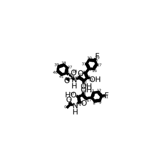 CC(=O)Nc1oc(-c2ccc(F)cc2)c(O)c1O.O=S(=O)(Nc1oc(-c2ccc(F)cc2)c(O)c1O)c1ccccc1